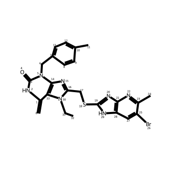 C=C1NC(=O)N(Cc2ccc(C)cc2)c2nc(CSc3nc4nc(C)c(Br)cc4[nH]3)n(CC)c21